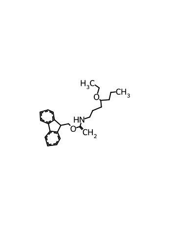 C=C(NCCCC(CCC)OCC)OCC1c2ccccc2-c2ccccc21